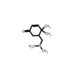 CN(C)CC1CC(=O)C=CC1(C)C